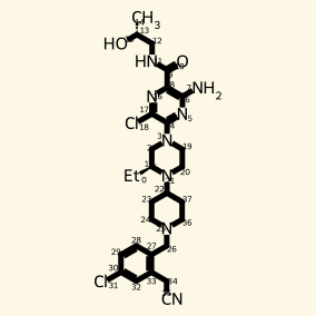 CC[C@H]1CN(c2nc(N)c(C(=O)NC[C@@H](C)O)nc2Cl)CCN1C1CCN(Cc2ccc(Cl)cc2CC#N)CC1